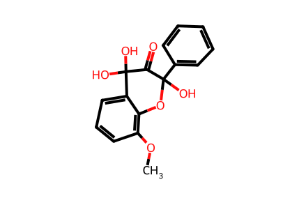 COc1cccc2c1OC(O)(c1ccccc1)C(=O)C2(O)O